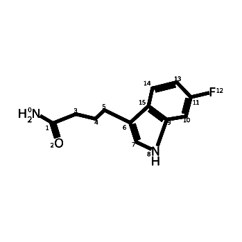 NC(=O)CCCc1c[nH]c2cc(F)ccc12